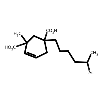 CC(=O)C(C)CCCCC1(C(=O)O)CC=CC(C)(C(=O)O)C1